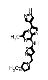 Cc1cn2c(-c3cn[nH]c3)cnc2c(Nc2cc(CN3CC[C@H](C)C3)ns2)n1